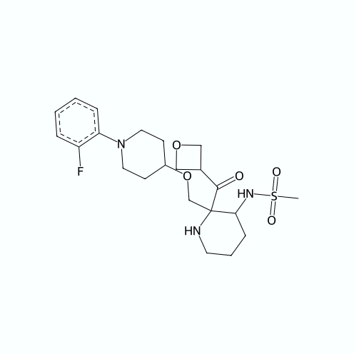 CS(=O)(=O)NC1CCCNC1(COC1CCN(c2ccccc2F)CC1)C(=O)C1COC1